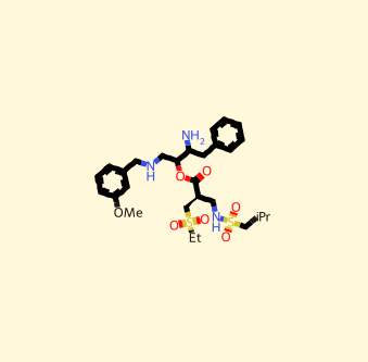 CCS(=O)(=O)C[C@H](CNS(=O)(=O)CC(C)C)C(=O)OC(CNCc1cccc(OC)c1)C(N)Cc1ccccc1